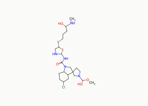 CNC(O)CCCSC1CNC(NC(=O)N2CC3(CCN(C(O)OC)C3)C3CC(Cl)CCC32)S1